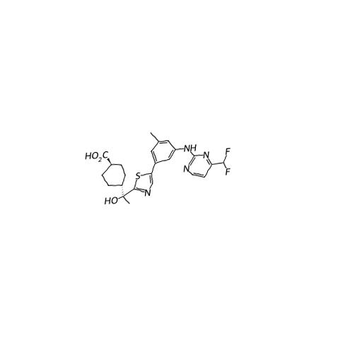 Cc1cc(Nc2nccc(C(F)F)n2)cc(-c2cnc(C(C)(O)[C@H]3CC[C@H](C(=O)O)CC3)s2)c1